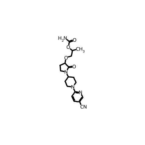 CC(COC1CCN(C2CCN(c3ccc(C#N)cn3)CC2)C1=O)OC(N)=O